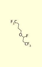 FC(CC(F)(F)F)OCCCC(F)(F)F